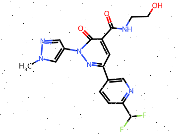 Cn1cc(-n2nc(-c3ccc(C(F)F)nc3)cc(C(=O)NCCO)c2=O)cn1